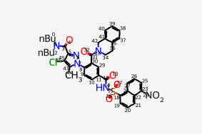 CCCCN(CCCC)C(=O)c1nn(-c2ccc(C(=O)NS(=O)(=O)c3cccc4c([N+](=O)[O-])cccc34)cc2C(=O)N2CCc3ccccc3C2)c(C)c1Cl